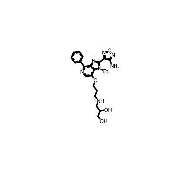 CCn1c(-c2nonc2N)nc2c(-c3ccccc3)ncc(OCCCNCC(O)CO)c21